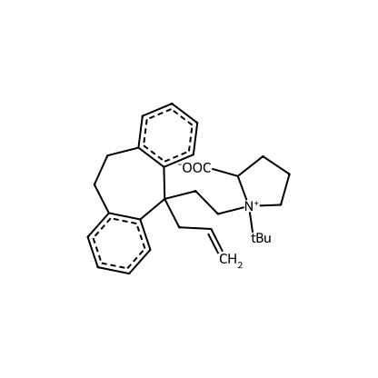 C=CCC1(CC[N+]2(C(C)(C)C)CCCC2C(=O)[O-])c2ccccc2CCc2ccccc21